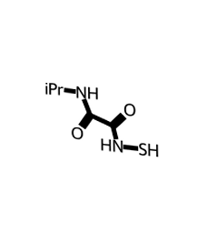 CC(C)NC(=O)C(=O)NS